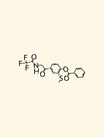 CSc1cc(C(=O)CNC(=O)C(F)(F)F)ccc1OC(=O)c1ccccc1